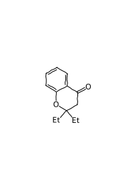 CCC1(CC)CC(=O)c2ccccc2O1